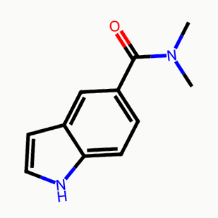 CN(C)C(=O)c1ccc2[nH]ccc2c1